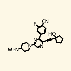 CNC1CCN(c2cnc(C#CC3(O)CCCC3)c(-c3ccc(C#N)c(F)c3)n2)CC1